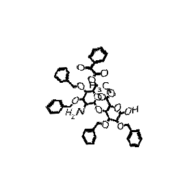 COC(=O)C1OC(O)C(OCc2ccccc2)C(OCc2ccccc2)C1OC1OC(COC(=O)C(=O)c2ccccc2)C(OCc2ccccc2)C(OCc2ccccc2)C1N